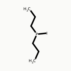 CCCP(I)CCC